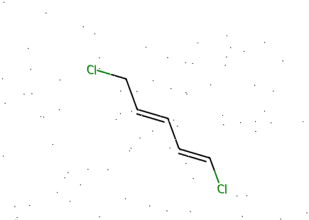 ClC=CC=CCCl